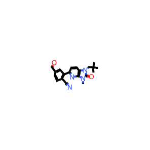 Cn1c(=O)n(CC(C)(C)C)c2ccc(-c3cc(C=O)ccc3C#N)nc21